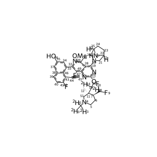 [2H]C([2H])([2H])N1CC[C@H](C(F)F)[C@](C)(C([2H])([2H])Oc2nc(N3C[C@H]4CC[C@@H](C3)N4)c3c(OC)nc(-c4cc(O)cc5ccc(F)c(C#C)c45)c(F)c3n2)C1